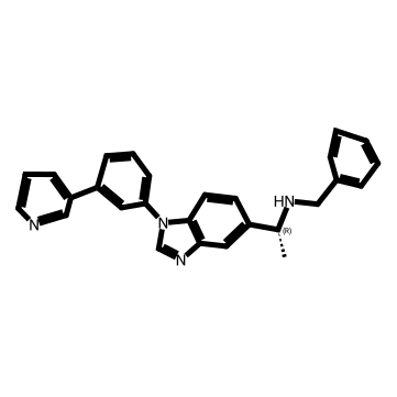 C[C@@H](NCc1ccccc1)c1ccc2c(c1)ncn2-c1cccc(-c2cccnc2)c1